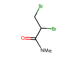 [CH2]NC(=O)C(Br)CBr